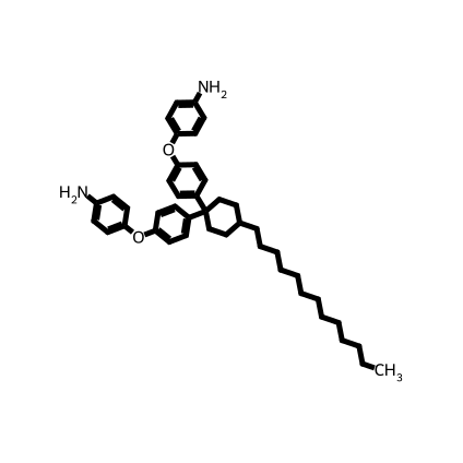 CCCCCCCCCCCCCC1CCC(c2ccc(Oc3ccc(N)cc3)cc2)(c2ccc(Oc3ccc(N)cc3)cc2)CC1